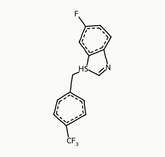 Fc1ccc2c(c1)[SH](Cc1ccc(C(F)(F)F)cc1)C=N2